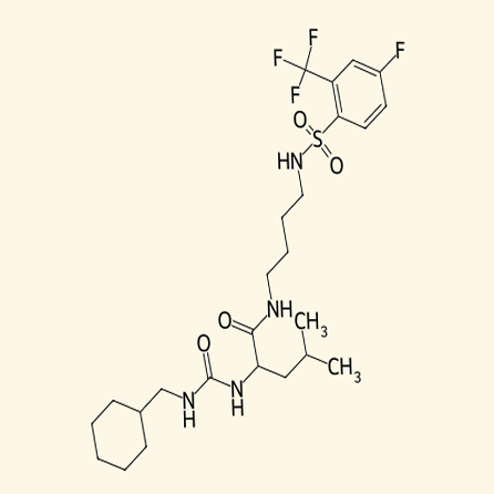 CC(C)CC(NC(=O)NCC1CCCCC1)C(=O)NCCCCNS(=O)(=O)c1ccc(F)cc1C(F)(F)F